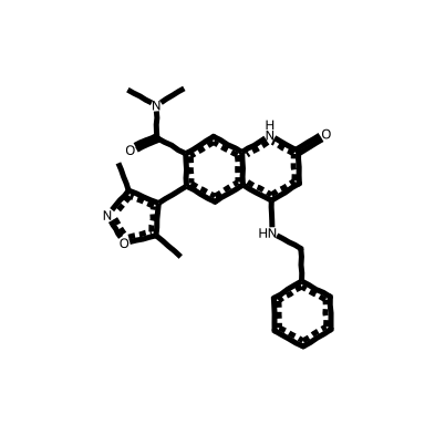 Cc1noc(C)c1-c1cc2c(NCc3ccccc3)cc(=O)[nH]c2cc1C(=O)N(C)C